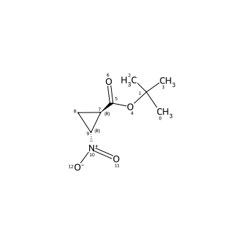 CC(C)(C)OC(=O)[C@@H]1C[C@H]1[N+](=O)[O-]